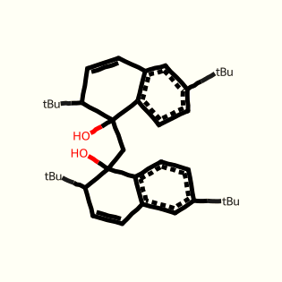 CC(C)(C)c1ccc2c(c1)C=CC(C(C)(C)C)C2(O)CC1(O)c2ccc(C(C)(C)C)cc2C=CC1C(C)(C)C